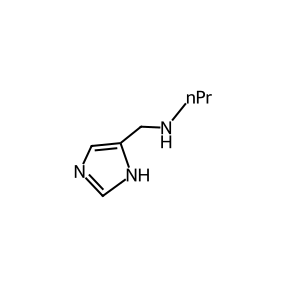 CCCNCc1cnc[nH]1